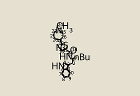 CCCCC(Cc1c[nH]c2ccccc12)NC(=O)c1cnc(C2CCCN(C)CC2)s1